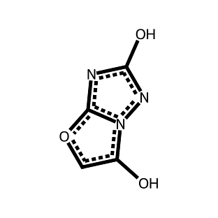 Oc1nc2occ(O)n2n1